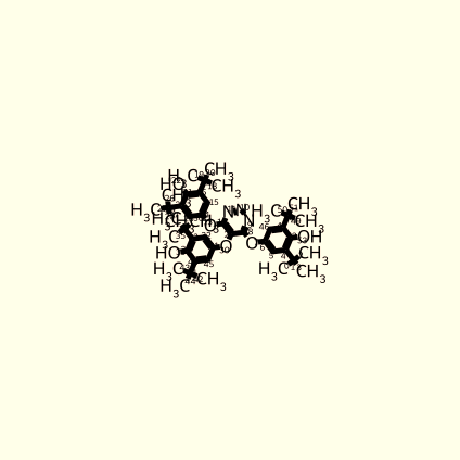 CC(C)(C)c1cc(Oc2nnnc(Oc3cc(C(C)(C)C)c(O)c(C(C)(C)C)c3)c2Oc2cc(C(C)(C)C)c(O)c(C(C)(C)C)c2)cc(C(C)(C)C)c1O